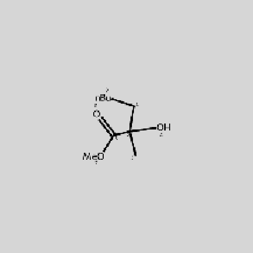 CCCCCC(C)(O)C(=O)OC